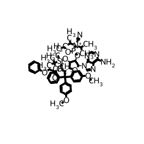 CCOP(O[C@@H]1[C@H](O[Si](C)(C)C(C)(C)C)[C@@H](C(OC(=O)COc2ccccc2)C(c2ccccc2)(c2ccc(OC)cc2)c2ccc(OC)cc2)O[C@H]1n1cnc2c(N)ncnc21)[N+](C#N)(C(C)C)C(C)C